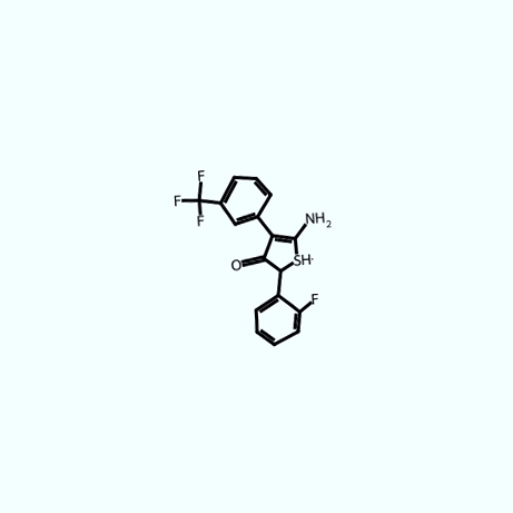 NC1=C(c2cccc(C(F)(F)F)c2)C(=O)C(c2ccccc2F)[SH]1